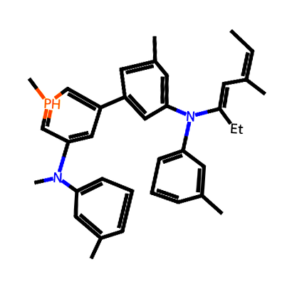 C/C=C(C)\C=C(/CC)N(c1cccc(C)c1)c1cc(C)cc(C2=C[PH](C)=CC(N(C)c3cccc(C)c3)=C2)c1